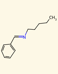 CCCCCN=Cc1ccccc1